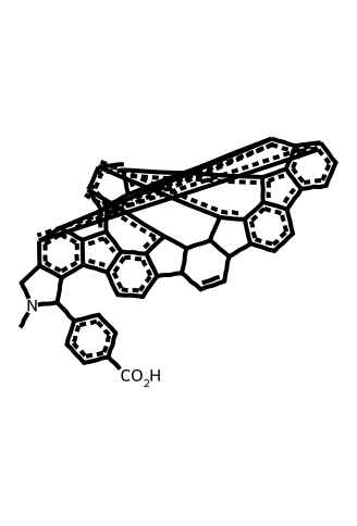 CN1Cc2c(c3c4ccc5c6c7c8c9c%10c%11c(ccc%12c%13ccc%14c2c2c3c(c64)c8c3c9c(c%11%12)c%13c%14c23)C2C=CC5C7C%102)C1c1ccc(C(=O)O)cc1